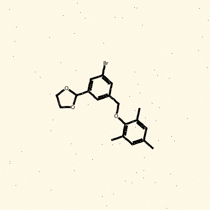 Cc1cc(C)c(OCc2cc(Br)cc(C3OCCO3)c2)c(C)c1